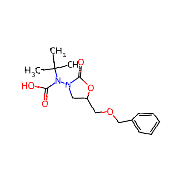 CC(C)(C)N(C(=O)O)N1CC(COCc2ccccc2)OC1=O